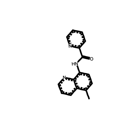 Cc1ccc(NC(=O)c2ccccn2)c2ncccc12